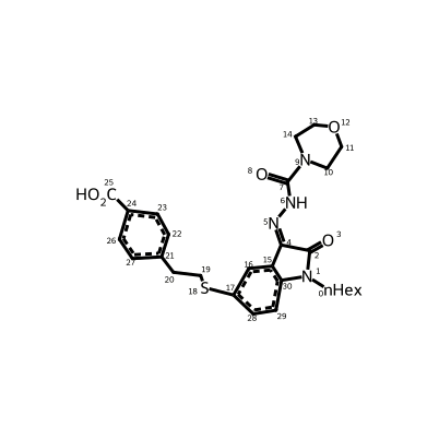 CCCCCCN1C(=O)C(=NNC(=O)N2CCOCC2)c2cc(SCCc3ccc(C(=O)O)cc3)ccc21